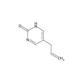 C=CCc1[c]nc(=O)[nH]c1